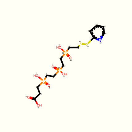 O=C(O)CCP(=O)(O)CCP(=O)(O)CCP(=O)(O)CCSSc1ccccn1